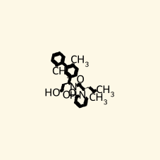 Cc1ccccc1-c1cc([C@H](CC(=O)O)NC(=O)[C@H](CC(C)C)n2ccccc2=O)ccc1C